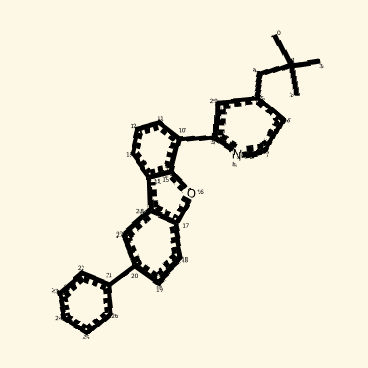 CC(C)(C)Cc1ccnc(-c2cccc3c2oc2ccc(-c4ccccc4)cc23)c1